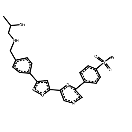 CC(O)CNCc1ccc(-c2cc(-c3cncc(-c4ccc(S(=O)(=O)C(C)C)cc4)n3)on2)cc1